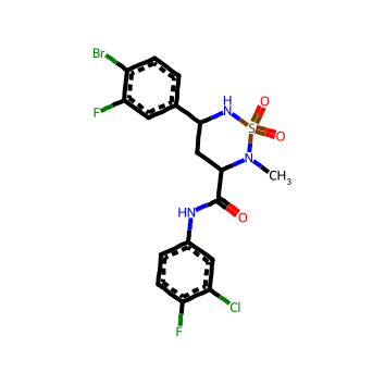 CN1C(C(=O)Nc2ccc(F)c(Cl)c2)CC(c2ccc(Br)c(F)c2)NS1(=O)=O